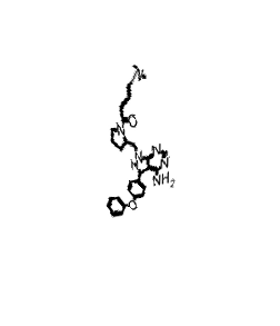 CN(C)CC=CC(=O)N1CCCC1Cn1nc(-c2ccc(Oc3ccccc3)cc2)c2c(N)ncnc21